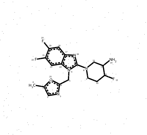 Cc1cnc(Cn2c(N3CCC(F)C(N)C3)nc3cc(F)c(F)cc32)o1